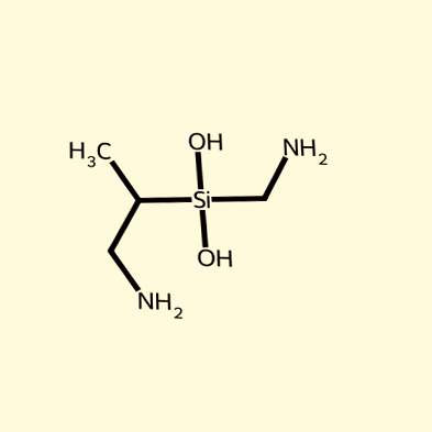 CC(CN)[Si](O)(O)CN